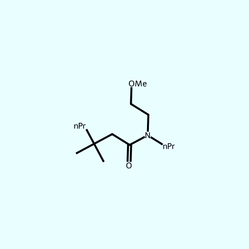 CCCN(CCOC)C(=O)CC(C)(C)CCC